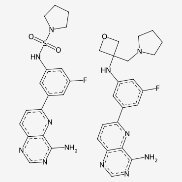 Nc1ncnc2ccc(-c3cc(F)cc(NC4(CN5CCCC5)COC4)c3)nc12.Nc1ncnc2ccc(-c3cc(F)cc(NS(=O)(=O)N4CCCC4)c3)nc12